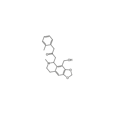 Cc1ccccc1CC(=O)CC1c2c(cc3c(c2CO)OCO3)CCN1C